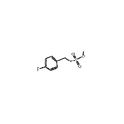 COS(=O)(=O)CCc1ccc(F)cc1